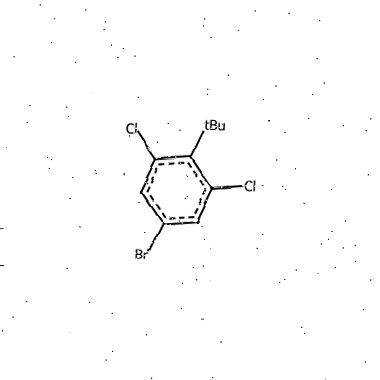 CC(C)(C)c1c(Cl)cc(Br)cc1Cl